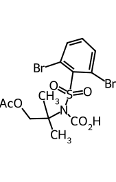 CC(=O)OCC(C)(C)N(C(=O)O)S(=O)(=O)c1c(Br)cccc1Br